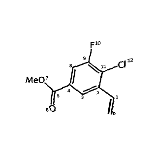 C=Cc1cc(C(=O)OC)cc(F)c1Cl